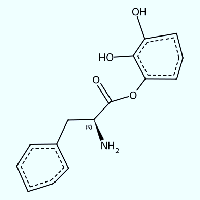 N[C@@H](Cc1ccccc1)C(=O)Oc1cccc(O)c1O